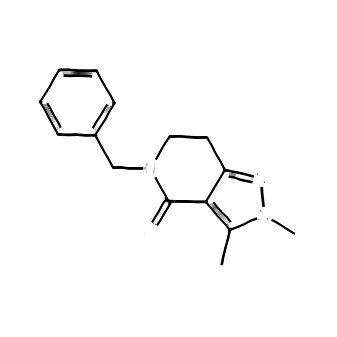 Cc1c2c(nn1C)CCN(Cc1ccccc1)C2=O